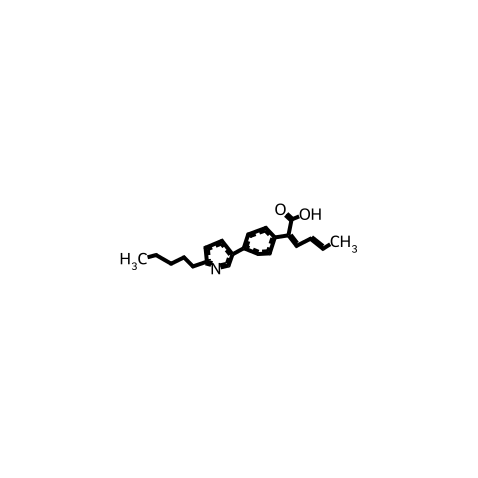 CC=CC=C(C(=O)O)c1ccc(-c2ccc(CCCCC)nc2)cc1